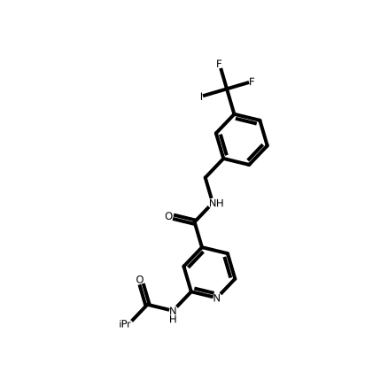 CC(C)C(=O)Nc1cc(C(=O)NCc2cccc(C(F)(F)I)c2)ccn1